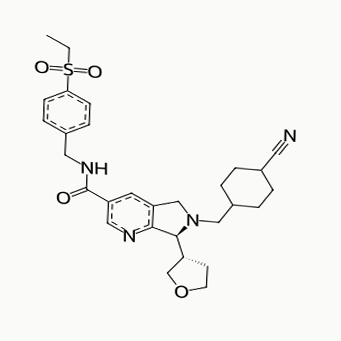 CCS(=O)(=O)c1ccc(CNC(=O)c2cnc3c(c2)CN(CC2CCC(C#N)CC2)[C@H]3[C@@H]2CCOC2)cc1